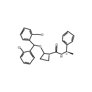 C[C@@H](NC(=O)N1CCC1OC(c1ccccc1Cl)c1ccccc1Cl)c1ccccc1